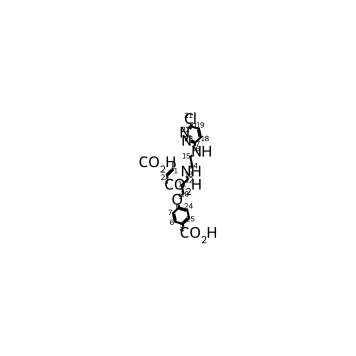 O=C(O)C=CC(=O)O.O=C(O)c1ccc(OCCCNCCNc2ccc(Cl)nn2)cc1